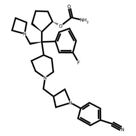 N#Cc1ccc(N2CC(CN3CCC([C@@](CN4CCC4)(c4cccc(F)c4)[C@H]4CCC[C@@H]4OC(N)=O)CC3)C2)cc1